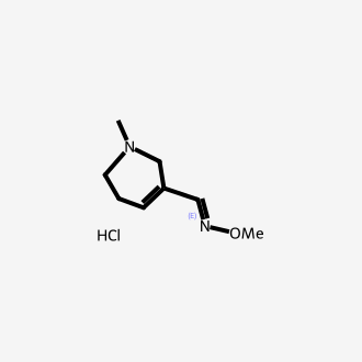 CO/N=C/C1=CCCN(C)C1.Cl